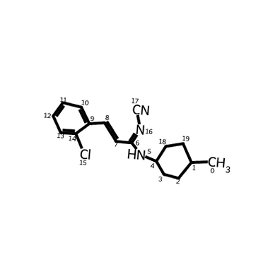 CC1CCC(NC(C=Cc2ccccc2Cl)=NC#N)CC1